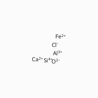 [Al+3].[Ca+2].[Cl-].[Fe+2].[O-2].[Si+4]